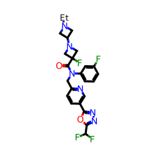 CCN1CC(N2CC(F)(C(=O)N(Cc3ccc(-c4nnc(C(F)F)o4)cn3)c3cccc(F)c3)C2)C1